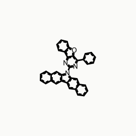 c1ccc(-c2nc(-n3c4cc5ccccc5cc4c4cc5ccccc5cc43)nc3c2oc2ccccc23)cc1